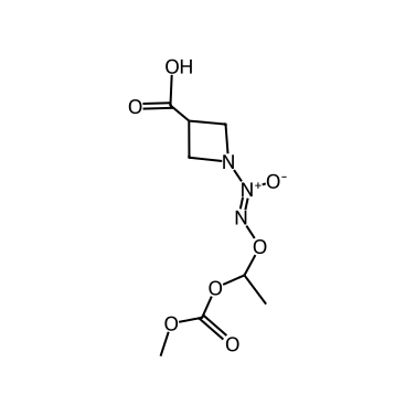 COC(=O)OC(C)ON=[N+]([O-])N1CC(C(=O)O)C1